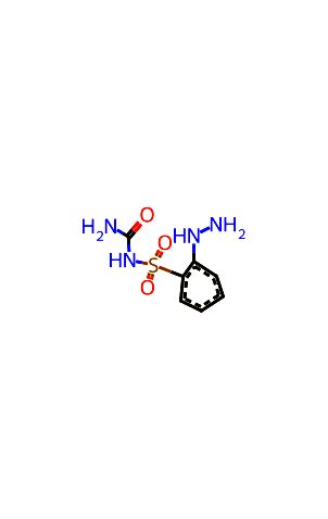 NNc1ccccc1S(=O)(=O)NC(N)=O